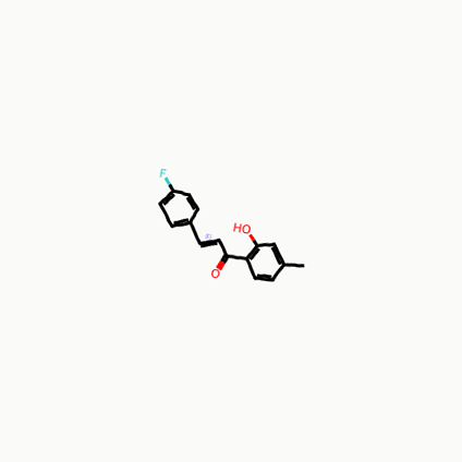 Cc1ccc(C(=O)/C=C/c2ccc(F)cc2)c(O)c1